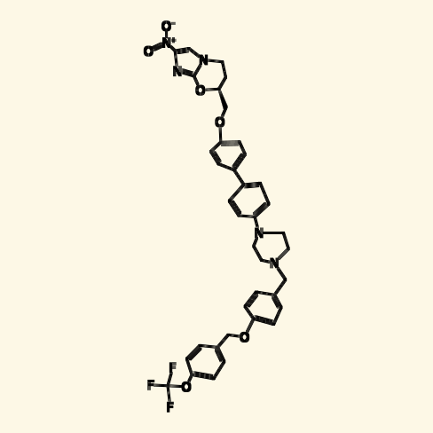 O=[N+]([O-])c1cn2c(n1)O[C@H](COc1ccc(-c3ccc(N4CCN(Cc5ccc(OCc6ccc(OC(F)(F)F)cc6)cc5)CC4)cc3)cc1)CC2